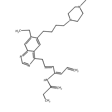 C=C/C=C(\C=C\Cc1ncnc2cc(CC)c(CCCCN3CCN(C)CC3)cc12)NC(=C)CC